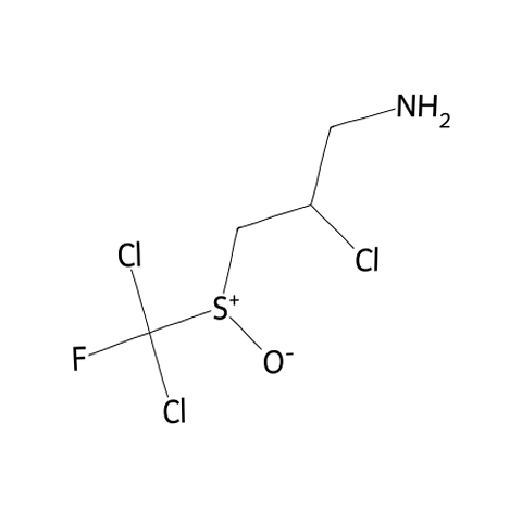 NCC(Cl)C[S+]([O-])C(F)(Cl)Cl